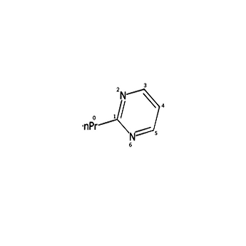 CC[CH]c1ncccn1